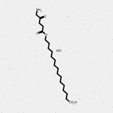 Cl.NCC(=O)CCC(=O)OCCCCCCCCCCCCCCCC(=O)O